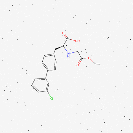 CCOC(=O)CN[C@@H](Cc1ccc(-c2cccc(Cl)c2)cc1)C(=O)O